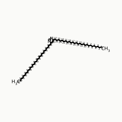 CCCCCCCCCCCCCCCCCCCCCCCCCCCCc1cc(CCCCCCCCCCCCCCCCCCCCCCCCCCCC)n[c]n1